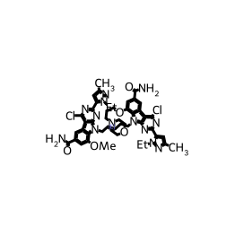 CCn1nc(C)cc1-c1nc(Cl)c2c3cc(C(N)=O)cc(OC)c3n(C/C=C/CCn3c4nc(-c5cc(C)nn5CC)nc(Cl)c4c4cc(C(N)=O)cc(OCCCN5CCOCC5)c43)c2n1